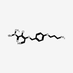 CN(C(=O)/C(Cl)=C(\C=N)OCc1ccc(OCCCP)cc1)C(C)(C)C